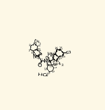 CN1CCc2nc(C(=O)NC3CCCCC3(N)C(=O)c3cc4cc(Cl)ccc4[nH]3)sc2C1.Cl